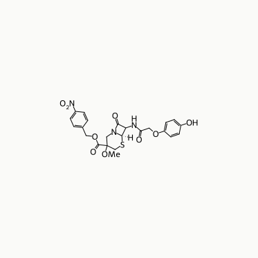 COC1(C(=O)OCc2ccc([N+](=O)[O-])cc2)CS[C@@H]2C(NC(=O)COc3ccc(O)cc3)C(=O)N2C1